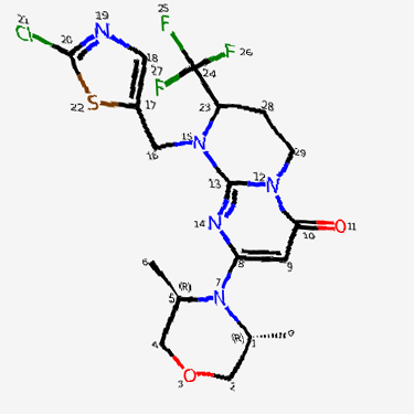 C[C@@H]1COC[C@@H](C)N1c1cc(=O)n2c(n1)N(Cc1cnc(Cl)s1)C(C(F)(F)F)CC2